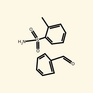 Cc1ccccc1S(N)(=O)=O.O=Cc1ccccc1